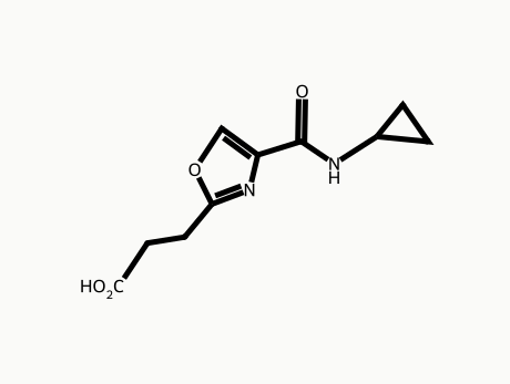 O=C(O)CCc1nc(C(=O)NC2CC2)co1